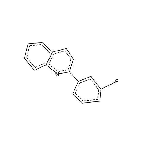 Fc1cccc(-c2c[c]c3ccccc3n2)c1